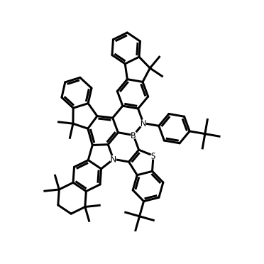 CC(C)(C)c1ccc(N2B3c4sc5ccc(C(C)(C)C)cc5c4-n4c5cc6c(cc5c5c7c(c(c3c54)-c3cc4c(cc32)C(C)(C)c2ccccc2-4)-c2ccccc2C7(C)C)C(C)(C)CCC6(C)C)cc1